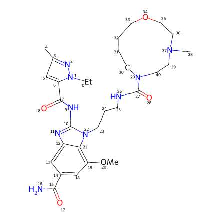 CCn1nc(C)cc1C(=O)Nc1nc2cc(C(N)=O)cc(OC)c2n1CCCNC(=O)N1CCCCOCCN(C)CC1